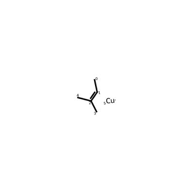 CC=C(C)C.[Cu]